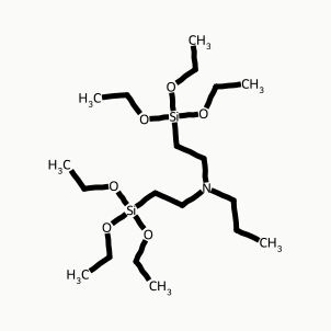 CCCN(CC[Si](OCC)(OCC)OCC)CC[Si](OCC)(OCC)OCC